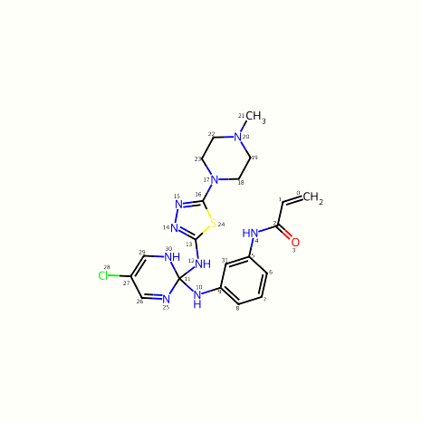 C=CC(=O)Nc1cccc(NC2(Nc3nnc(N4CCN(C)CC4)s3)N=CC(Cl)=CN2)c1